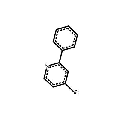 CC(C)c1ccnc(-c2ccccc2)c1